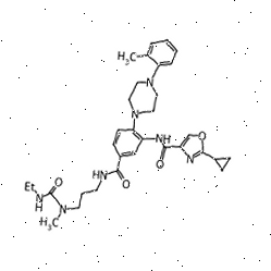 CCNC(=O)N(C)CCCNC(=O)c1ccc(N2CCN(c3ccccc3C)CC2)c(NC(=O)c2coc(C3CC3)n2)c1